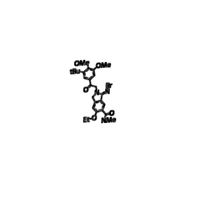 CCOc1cc2c(cc1C(=O)NC)/C(=N/Br)N(CC(=O)c1cc(OC)c(OC)c(C(C)(C)C)c1)C2